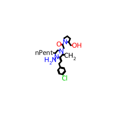 C=C1/C(=C/Cc2ccc(Cl)cc2)N(N)C(CCCCC)CN1CC(=O)N1CCCC1CO